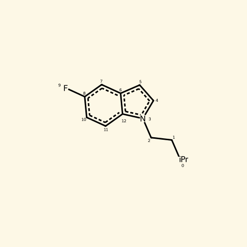 CC(C)CCn1ccc2cc(F)ccc21